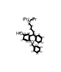 CC(C)N(CCCCC(c1ccccc1)c1cc(O)ccc1OCc1ccccc1)C(C)C